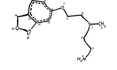 CN(CCN)CCOc1ccc2c(c1)OOC2